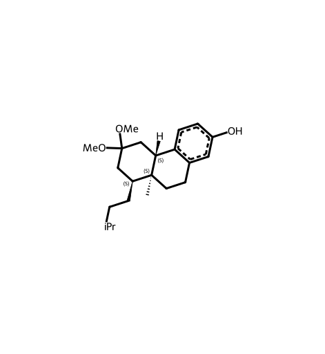 COC1(OC)C[C@H](CCC(C)C)[C@]2(C)CCc3cc(O)ccc3[C@H]2C1